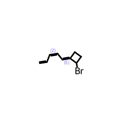 C=C/C=C\C=C1/CCC1Br